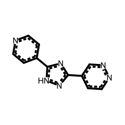 c1cc(-c2nc(-c3ccnnc3)n[nH]2)ccn1